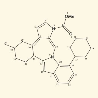 COC(=O)n1ccc2c1=Cn1c(cc3cccc(C4CCCCC4)c31)C1CCC(C)CC=21